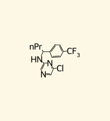 CCCC(Nc1cncc(Cl)n1)c1ccc(C(F)(F)F)cc1